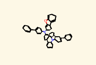 c1ccc(-c2ccc(N(c3ccc(-c4ccccc4-n4c5ccccc5c5cc(-c6ccccc6)ccc54)cc3)c3ccc4c(c3)oc3ccccc34)cc2)cc1